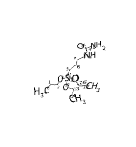 CCCO[Si](CCCNC(N)=O)(OCC)OCC